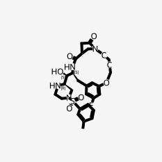 Cc1cccc(S(=O)(=O)N2CCN[C@@H]([C@@H](O)[C@@H]3Cc4cc(F)cc(c4)OCCCCN4CC(CC4=O)C(=O)N3)C2)c1